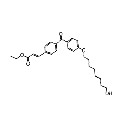 CCOC(=O)C=Cc1ccc(C(=O)c2ccc(OCCCCCCCCO)cc2)cc1